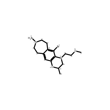 BN1CCc2cc3c(c(Br)c2CC1)N(CCOC)CC(C)O3